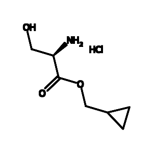 Cl.N[C@H](CO)C(=O)OCC1CC1